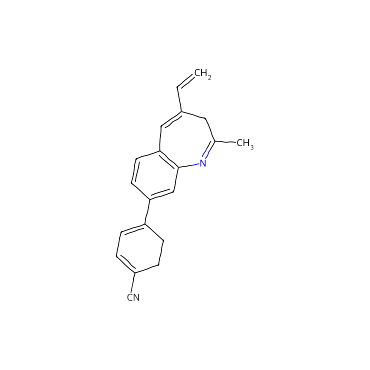 C=CC1=Cc2ccc(C3=CC=C(C#N)CC3)cc2N=C(C)C1